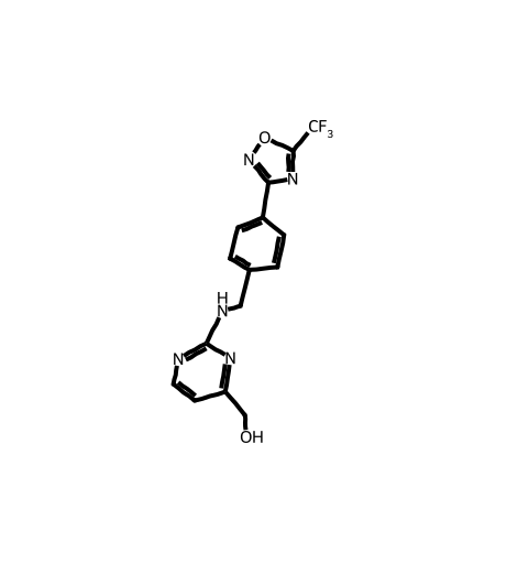 OCc1ccnc(NCc2ccc(-c3noc(C(F)(F)F)n3)cc2)n1